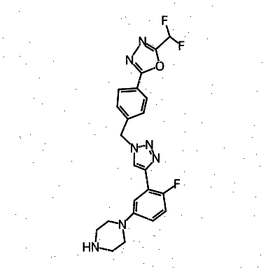 Fc1ccc(N2CCNCC2)cc1-c1cn(Cc2ccc(-c3nnc(C(F)F)o3)cc2)nn1